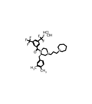 Cc1ccc(C[C@@H]2CN(CCCN3CCCCCC3)CCN2C(=O)c2cc(C(F)(F)F)cc(C(F)(F)F)c2)cc1C.Cl.Cl